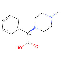 CN1CCN([C@@H](C(=O)O)c2ccccc2)CC1